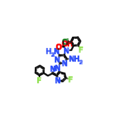 Nc1nc(-n2nc(Cc3ccccc3F)c3ncc(F)cc32)nc(N)c1N(Cc1c(F)cccc1Cl)C(=O)O